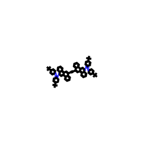 CC(C)(C)C1=CC=C(N(c2ccc(C(C)(C)C)cc2)c2cc3c4ccccc4c(C#Cc4cc5c6ccccc6c(N(c6ccc(C(C)(C)C)cc6)c6ccc(C(C)(C)C)cc6)cc5c5ccccc45)cc3c3ccccc23)CC1